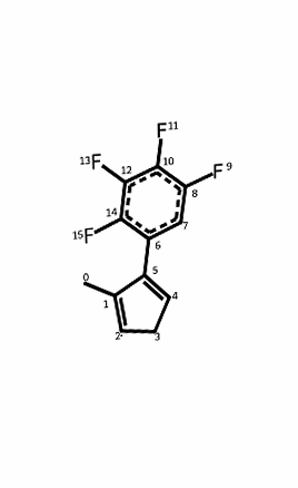 CC1=[C]CC=C1c1cc(F)c(F)c(F)c1F